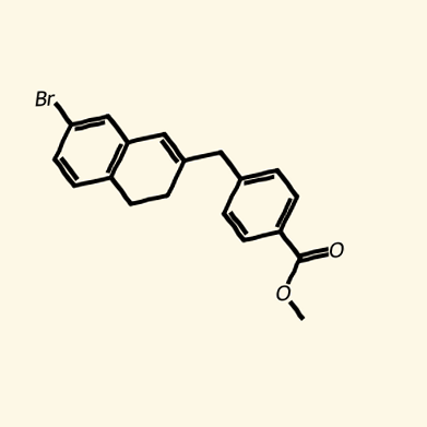 COC(=O)c1ccc(CC2=Cc3cc(Br)ccc3CC2)cc1